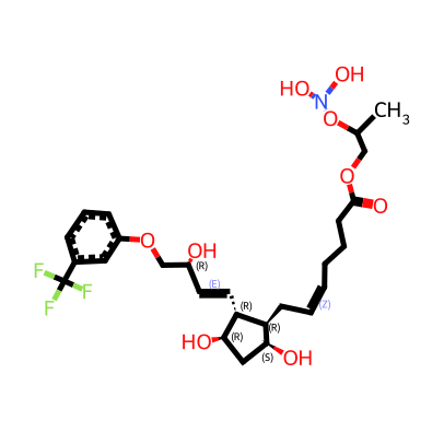 CC(COC(=O)CCC/C=C\C[C@@H]1[C@@H](/C=C/[C@@H](O)COc2cccc(C(F)(F)F)c2)[C@H](O)C[C@@H]1O)ON(O)O